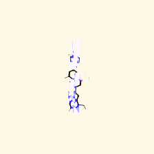 CCc1nc(C)cn2nc(-c3cc(=O)n4cc(N5CCN[C@H](C)C5)cc(C)c4n3)cc12